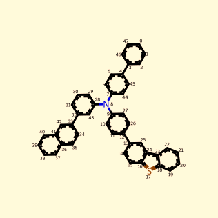 c1ccc(-c2ccc(N(c3ccc(-c4ccc5sc6ccccc6c5c4)cc3)c3cccc(-c4ccc5ccccc5c4)c3)cc2)cc1